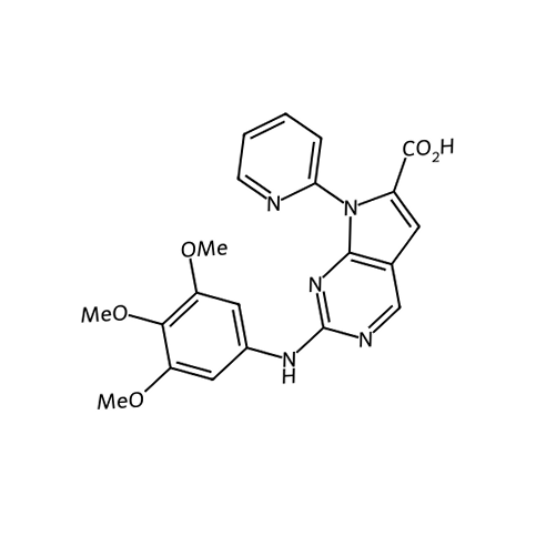 COc1cc(Nc2ncc3cc(C(=O)O)n(-c4ccccn4)c3n2)cc(OC)c1OC